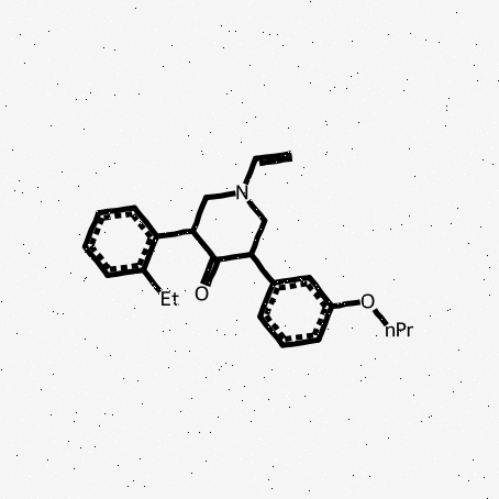 C=CN1CC(c2cccc(OCCC)c2)C(=O)C(c2ccccc2CC)C1